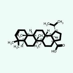 CC(C)[C@@H]1CC[C@]2(C(=O)O)CC[C@]3(C)[C@H](CC[C@@H]4[C@@]5(C)CC=CC(C)(C)[C@@H]5CC[C@]43C)[C@@H]12